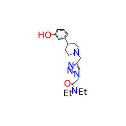 CCN(CC)C(=O)Cn1cc(CN2CCC(c3cccc(O)c3)CC2)nn1